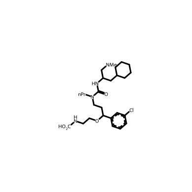 CCCN(CCC(OCCNC(=O)O)c1cccc(Cl)c1)C(=O)NC(CNC)CC1CCCCC1